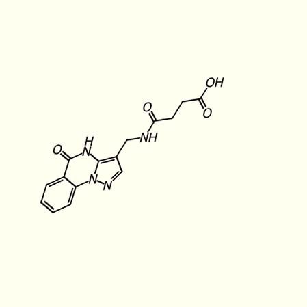 O=C(O)CCC(=O)NCc1cnn2c1[nH]c(=O)c1ccccc12